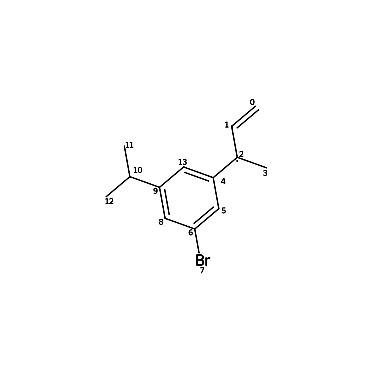 C=C[C](C)c1cc(Br)cc(C(C)C)c1